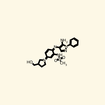 CS(=O)(=O)NC1=CC(=[N+]2\CCC(CO)C2)/C=CC/1=N/c1cnn(-c2ccccc2)c1N